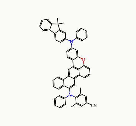 Cc1cc(C#N)cc(C)c1N(c1ccccc1)c1cc2c3cccc4c3c(cc2c2ccccc12)-c1ccc(N(c2ccccc2)c2ccc3c(c2)C(C)(C)c2ccccc2-3)cc1O4